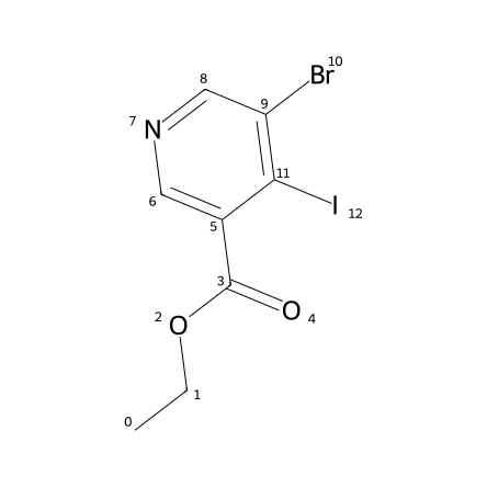 CCOC(=O)c1cncc(Br)c1I